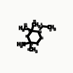 CC[C@@H]1CC[C@](C)(N)CC1(C)C